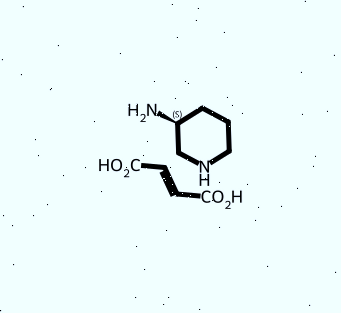 N[C@H]1CCCNC1.O=C(O)C=CC(=O)O